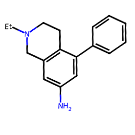 CCN1CCc2c(cc(N)cc2-c2ccccc2)C1